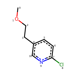 COCCc1ccc(Cl)nc1